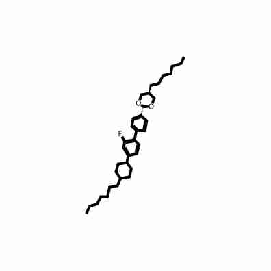 CCCCCCCC1CCC(c2ccc(-c3ccc([C@H]4OC[C@H](CCCCCCC)CO4)cc3)c(F)c2)CC1